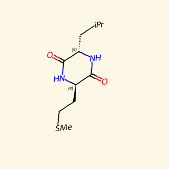 CSCC[C@H]1NC(=O)[C@H](CC(C)C)NC1=O